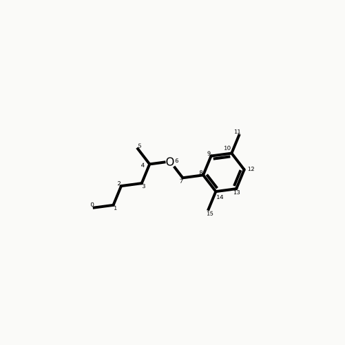 CCCCC(C)OCc1cc(C)ccc1C